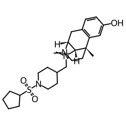 CN1CC[C@@]2(C)c3cc(O)ccc3C[C@@H]1[C@H]2N(C)CC1CCN(S(=O)(=O)C2CCCC2)CC1